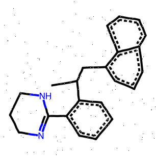 CC(Cc1cccc2ccccc12)c1ccccc1C1=NCCCN1